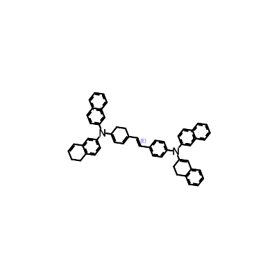 C1=Cc2cc(N(C3=CC=C(/C=C/c4ccc(N(C5=Cc6ccccc6CC5)c5ccc6ccccc6c5)cc4)CC3)c3ccc4ccccc4c3)ccc2CC1